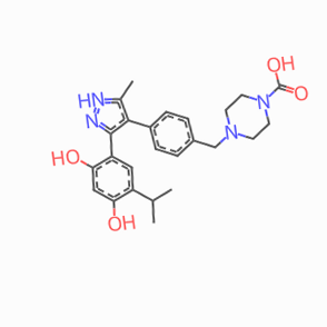 Cc1[nH]nc(-c2cc(C(C)C)c(O)cc2O)c1-c1ccc(CN2CCN(C(=O)O)CC2)cc1